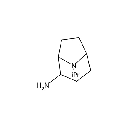 CC(C)N1C2CCC(N)C1CC2